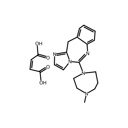 CN1CCCN(C2=Nc3ccccc3Cc3nccn32)CC1.O=C(O)/C=C\C(=O)O